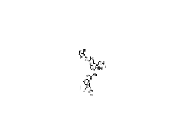 C[C@@H](NC(=O)C1CC1c1ccc2ccn(CC3(C)COC3)c2c1)c1cnc(OCC(F)(F)F)cn1